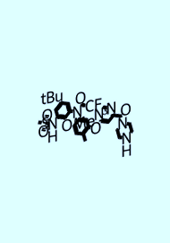 COc1c(NS(C)(=O)=O)cc(C(C)(C)C)cc1N(C(=O)C(F)(F)F)c1ccc(C)c(Oc2cc(C(=O)N3CCNCC3)ncn2)c1